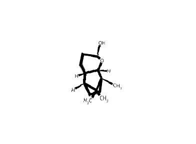 CC1(C)[C@@H]2CC[C@@]1(C)[C@H]1O[C@H](O)CC[C@@H]21